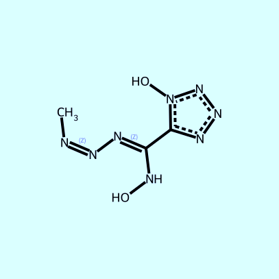 C/N=N\N=C(/NO)c1nnnn1O